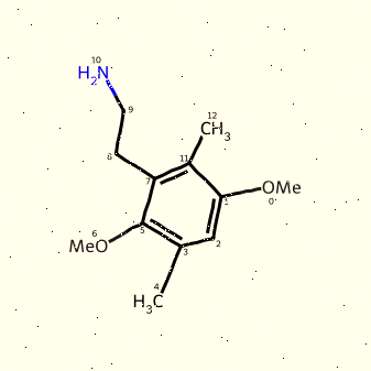 COc1cc(C)c(OC)c(CCN)c1C